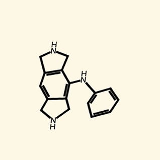 c1ccc(Nc2c3c(cc4c2CNC4)CNC3)cc1